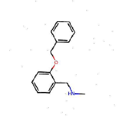 CNCc1ccccc1OCc1ccccc1